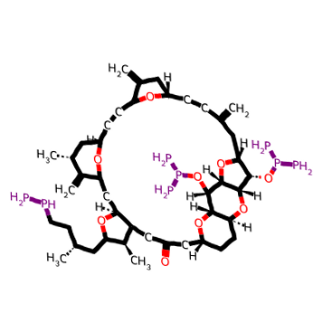 C=C1CC[C@H]2CC(=C)C(CC[C@H]3C[C@@H](C)C(=C)C(C[C@@H]4OC(C[C@H](C)CCPP)[C@H](C)C4CC(=O)C[C@H]4CC[C@@H]5O[C@@H]6[C@@H](O[C@H](C1)[C@@H]6OP(P)P)[C@@H](OP(P)P)[C@H]5O4)O3)O2